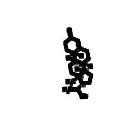 C=C(CCC)[C@H]1CC[C@H]2[C@@H]3CCC4=CC(=O)CC[C@@H]4[C@H]3CC[C@]12C